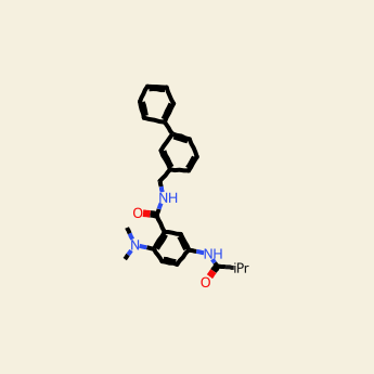 CC(C)C(=O)Nc1ccc(N(C)C)c(C(=O)NCc2cccc(-c3ccccc3)c2)c1